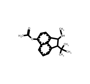 CNC1c2ccc(OC(C)=O)c3cccc(c23)C1C(C)(C)C